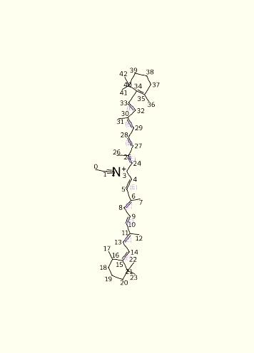 CC#[N+]C(/C=C/C(C)=C/C=C/C(C)=C/C=C1\C(C)CCCC1(C)C)/C=C(C)/C=C/C=C(C)/C=C/C1=C(C)CCCC1(C)C